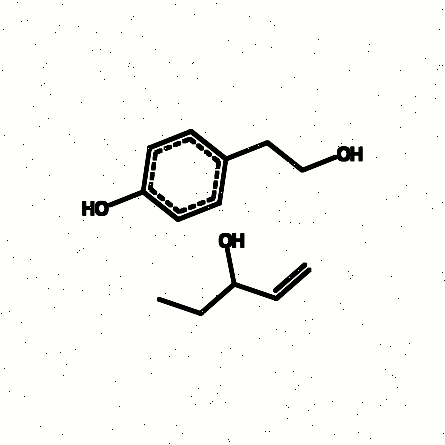 C=CC(O)CC.OCCc1ccc(O)cc1